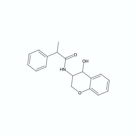 CC(C(=O)NC1COc2ccccc2C1O)c1ccccc1